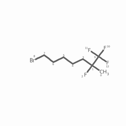 CC(F)(CCCCCBr)C(F)(F)F